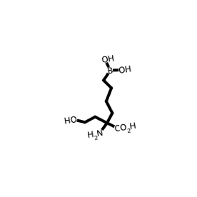 NC(CCO)(CCCCB(O)O)C(=O)O